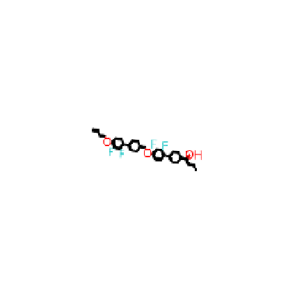 C=CCCOc1ccc(C2CCC(COc3ccc(C4CCC(C(O)CCC)CC4)c(F)c3F)CC2)c(F)c1F